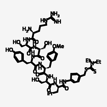 CCN(CC)C(=S)SCc1ccc(NC(=O)[C@@H](CC(C)C)NC(=O)[C@@H](CO)NC(=O)[C@@H](Cc2ccc(OC)cc2)NC(=O)[C@@H](Cc2ccc(O)cc2)NC(=O)[C@@H](CO)NC(=O)[C@@H](CO)NC(=O)[C@H](N)CCCNC(=N)N)cc1